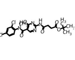 CN(C(=O)c1cnc(NC(=O)CCC(=O)OC(C)(C)C)nc1O)c1ccc(Cl)cc1Cl